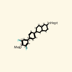 CCCCCCCC1CCC2CC(c3ccc(-c4cc(F)c(OC)c(F)c4)cc3)CCC2C1